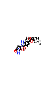 CC(C)(C)OC(=O)c1ccc(C(=O)NC2CCC(=O)NC2=O)cc1